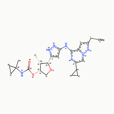 COCc1cc2c(Nc3cc([C@@H]4OC[C@H](OC(=O)NC5(C)CC5)[C@@H]4F)[nH]n3)nc(C3CC3)cn2n1